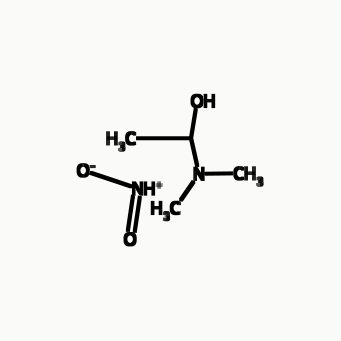 CC(O)N(C)C.O=[NH+][O-]